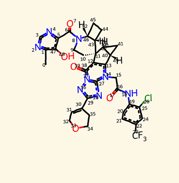 Cc1ncnc(C(=O)N2CC[C@]3(c4c(n(CC(=O)Nc5ccc(C(F)(F)F)cc5Cl)c5nc(C6=CCOCC6)nn5c4=O)[C@H]4C[C@H]43)[C@H]3CC[C@H]32)c1O